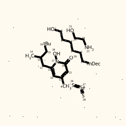 CCCCCCCCCCCCCCCCO.Cc1cc(CC(C)CC(C)(C)C)n(O)c(=O)c1.NCCO.S=[Se]=S